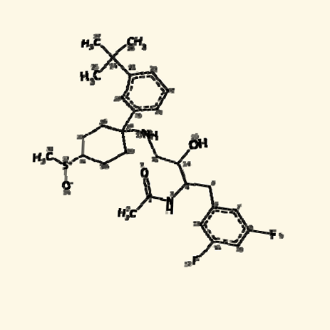 CC(=O)NC(Cc1cc(F)cc(F)c1)C(O)CNC1(c2cccc(C(C)(C)C)c2)CCC([S+](C)[O-])CC1